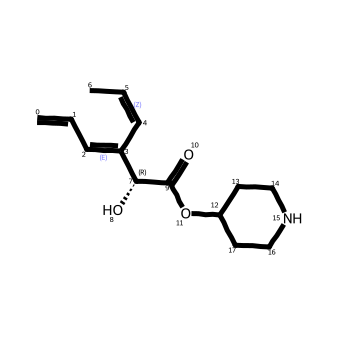 C=C/C=C(\C=C/C)[C@@H](O)C(=O)OC1CCNCC1